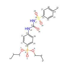 CCCOP(=O)(OCCC)c1ccc(NC(=O)NS(=O)(=O)c2ccc(C)cc2)cc1